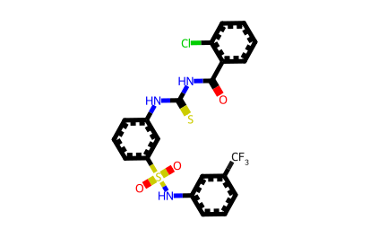 O=C(NC(=S)Nc1cccc(S(=O)(=O)Nc2cccc(C(F)(F)F)c2)c1)c1ccccc1Cl